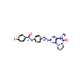 CC(C)N1C(=O)C2CCCN2c2nc(NCc3ccc(NC(=O)c4ccc(F)cc4)cc3)ncc21